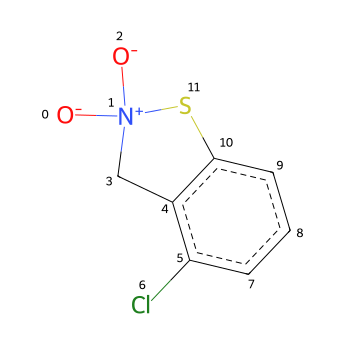 [O-][N+]1([O-])Cc2c(Cl)cccc2S1